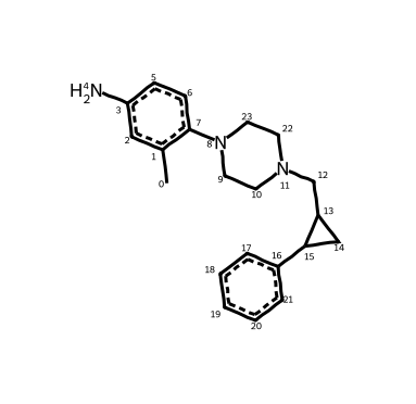 Cc1cc(N)ccc1N1CCN(CC2CC2c2ccccc2)CC1